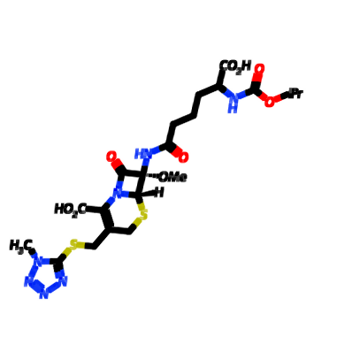 CO[C@@]1(NC(=O)CCCC(NC(=O)OC(C)C)C(=O)O)C(=O)N2C(C(=O)O)=C(CSc3nnnn3C)CS[C@H]21